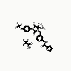 CC1(C)C(=O)N(c2ccc(SC(F)(F)F)cc2)C(=O)N1Cc1ccnc(NC(=O)c2cccs2)c1.O=C(O)C(F)(F)F